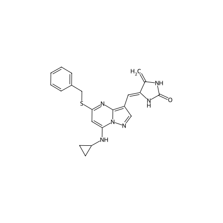 C=c1[nH]c(=O)[nH]/c1=C\c1cnn2c(NC3CC3)cc(SCc3ccccc3)nc12